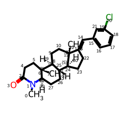 CN1C(=O)CC[C@]2(C)[C@H]3CC[C@]4(C)C(=Cc5cccc(Cl)c5)CC[C@H]4[C@@H]3CC[C@@H]12